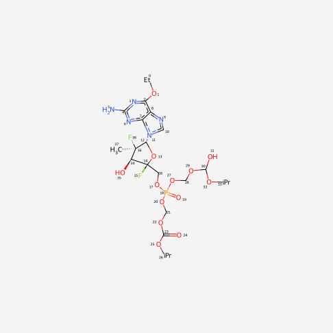 CCOc1nc(N)nc2c1ncn2[C@@H]1O[C@](F)(COP(=O)(OCOC(=O)OC(C)C)OCOC(O)OC(C)C)[C@@H](O)[C@@]1(C)F